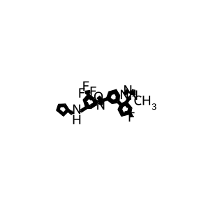 Cn1cnnc1-c1cc(F)ccc1-c1cccc(-c2nc3cc(CNCC4CCCC4)cc(C(F)(F)F)c3o2)c1